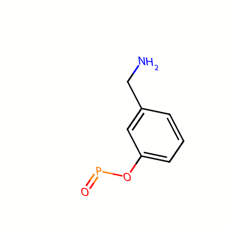 NCc1cccc(OP=O)c1